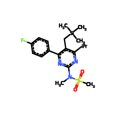 CC(C)c1nc(N(C)S(C)(=O)=O)nc(-c2ccc(F)cc2)c1C[Si](C)(C)C